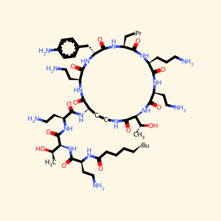 CC[C@H](C)CCCCC(=O)N[C@@H](CCN)C(=O)N[C@H](C(=O)N[C@@H](CCN)C(=O)N[C@H]1CCNC(=O)[C@H]([C@@H](C)O)NC(=O)[C@H](CCN)NC(=O)[C@H](CCCN)NC(=O)[C@H](CC(C)C)NC(=O)[C@@H](Cc2ccc(N)cc2)NC(=O)[C@H](CCN)NC1=O)[C@@H](C)O